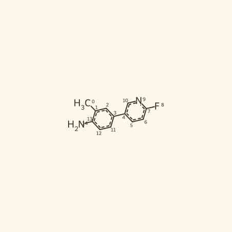 Cc1cc(-c2ccc(F)nc2)ccc1N